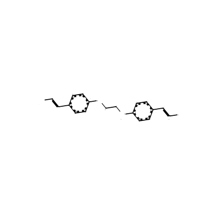 O=C(O)C=Cc1ccc(OCCOc2ccc(C=CC(=O)O)cc2)cc1